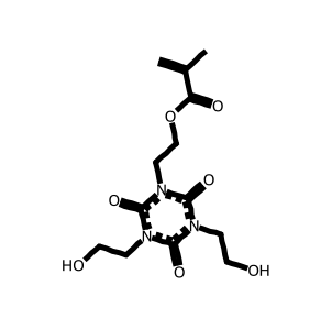 C=C(C)C(=O)OCCn1c(=O)n(CCO)c(=O)n(CCO)c1=O